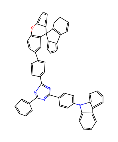 C1=CC2=C(CC1)C1(c3ccccc3Oc3ccc(-c4ccc(-c5nc(-c6ccccc6)nc(-c6ccc(-n7c8ccccc8c8ccccc87)cc6)n5)cc4)cc31)c1ccccc12